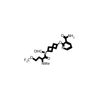 CNC(CCOC(F)(F)F)C(=O)N(C=O)[C@H]1CC2(C[C@H](Oc3ncccc3C(N)=O)C2)C1